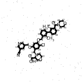 Cc1c(COc2cc(OCc3cncc(C#N)c3)c(CN3CCOCC3C(=O)O)cc2Cl)cccc1-c1cccc(C(=O)N2CCOCC2)c1C